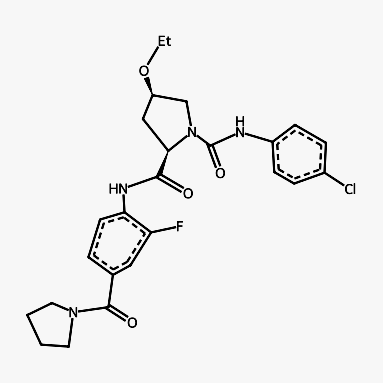 CCO[C@@H]1C[C@H](C(=O)Nc2ccc(C(=O)N3CCCC3)cc2F)N(C(=O)Nc2ccc(Cl)cc2)C1